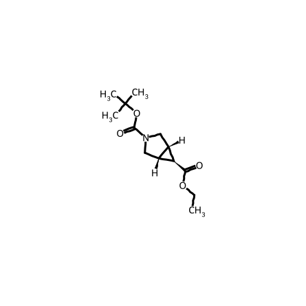 CCOC(=O)[C@H]1[C@@H]2CN(C(=O)OC(C)(C)C)C[C@@H]21